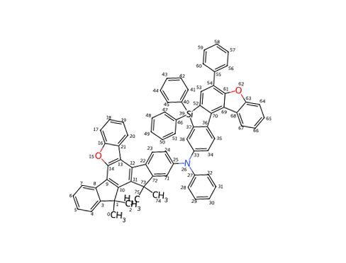 CC1(C)c2ccccc2-c2c1c1c(c3c2oc2ccccc23)-c2ccc(N(c3ccccc3)c3ccc4c(c3)[Si](c3ccccc3)(c3ccccc3)c3cc(-c5ccccc5)c5oc6ccccc6c5c3-4)cc2C1(C)C